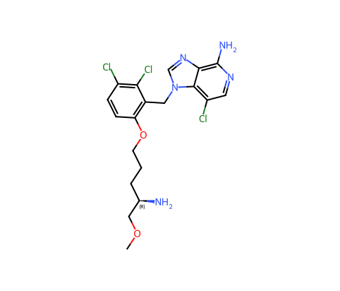 COC[C@H](N)CCCOc1ccc(Cl)c(Cl)c1Cn1cnc2c(N)ncc(Cl)c21